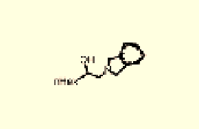 CCCCCCC(O)CN1Cc2ccccc2C1